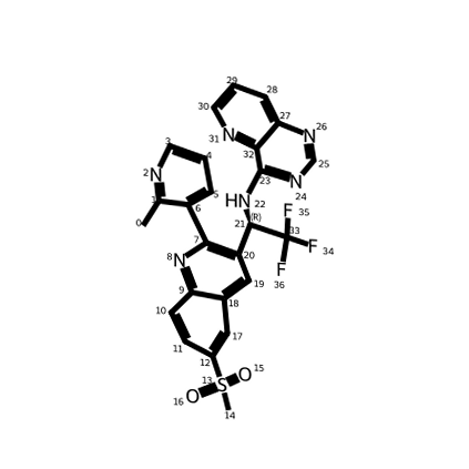 Cc1ncccc1-c1nc2ccc(S(C)(=O)=O)cc2cc1[C@@H](Nc1ncnc2cccnc12)C(F)(F)F